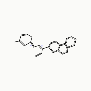 C=C/C(=C\C=C1\C=C(I)C=CC1)c1ccc2c(ccc3ccccc32)c1